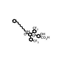 O=C(NCCCCCCCCc1ccccc1)c1cc(-c2cccc(C(F)(F)F)c2)c(OCc2ccc(C(=O)O)c(O)c2)c(-c2cccc(C(F)(F)F)c2)c1